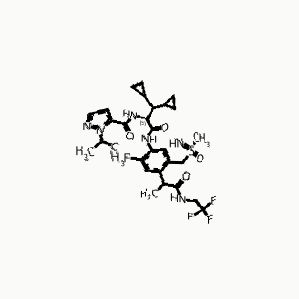 CC(C(=O)NCC(F)(F)F)c1cc(F)c(NC(=O)[C@@H](NC(=O)c2ccnn2C(C)C)C(C2CC2)C2CC2)cc1CS(C)(=N)=O